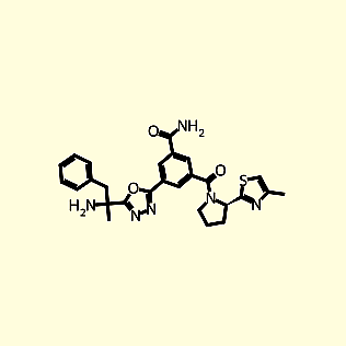 Cc1csc([C@H]2CCCN2C(=O)c2cc(C(N)=O)cc(-c3nnc(C(C)(N)Cc4ccccc4)o3)c2)n1